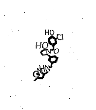 Cc1cc(CNCc2cccc(C3CCCN3C(=O)c3cc(Cl)c(O)cc3O)c2)no1